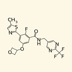 Cc1cnc(-c2cc(OC3COC3)cc(C(=O)NCc3cnc(C(F)(F)F)nc3)c2F)s1